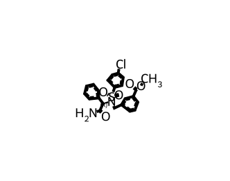 COC(=O)c1cccc(CN([C@@H](C(N)=O)c2ccccc2)S(=O)(=O)c2ccc(Cl)cc2)c1